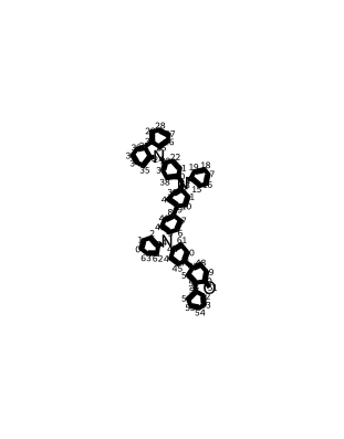 c1ccc(N(c2ccc(-c3ccc(N(c4ccccc4)c4ccc(-n5c6ccccc6c6ccccc65)cc4)cc3)cc2)c2ccc(-c3ccc4oc5ccccc5c4c3)cc2)cc1